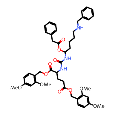 COc1ccc(COC(=O)CCC(NC(=O)NC(CCCCNCc2ccccc2)OC(=O)Cc2ccccc2)C(=O)OCc2ccc(OC)cc2OC)c(OC)c1